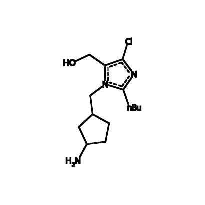 CCCCc1nc(Cl)c(CO)n1CC1CCC(N)C1